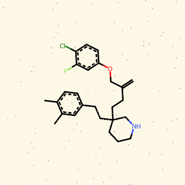 C=C(CCC1(CCc2ccc(C)c(C)c2)CCCNC1)COc1ccc(Cl)c(F)c1